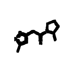 Cc1cc(CC(=S)N2CCCC2C)on1